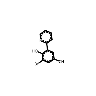 N#Cc1cc(Br)c(O)c(-c2ccccn2)c1